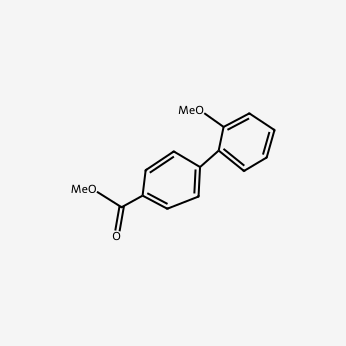 COC(=O)c1ccc(-c2ccccc2OC)cc1